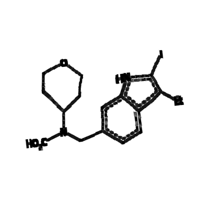 CCc1c(I)[nH]c2cc(CN(C(=O)O)C3CCOCC3)ccc12